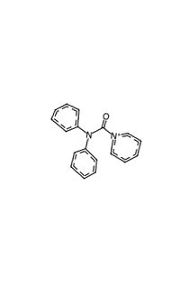 O=C(N(c1ccccc1)c1ccccc1)[n+]1ccccc1